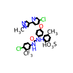 Cc1ccc(S(=O)(=O)O)cc1.Cn1cc(-c2cc(Oc3ccc(NC(=O)Nc4ccc(Cl)c(C(F)(F)F)c4)cc3)c(Cl)cn2)cn1